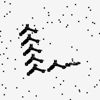 [Gd+3].[Lu+3].[O]=[GeH][O-].[O]=[GeH][O-].[O]=[GeH][O-].[O]=[GeH][O-].[O]=[GeH][O-].[O]=[GeH][O-]